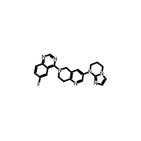 Fc1ccc2ncnc(N3CCc4ncc(N5CCCn6ccnc65)cc4C3)c2c1